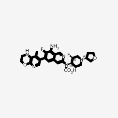 Cc1c(-c2cc3cc(N(C(=O)O)[C@@H]4CCN([C@@H]5CCOC5)C[C@@H]4F)ncc3c(N)c2F)cnc2c1NCCO2